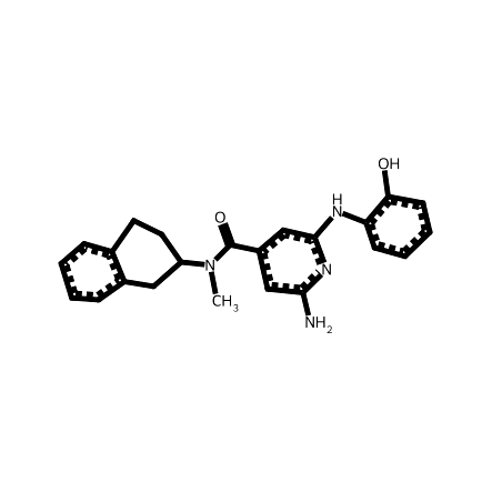 CN(C(=O)c1cc(N)nc(Nc2ccccc2O)c1)C1CCc2ccccc2C1